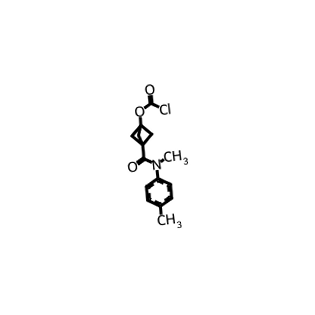 Cc1ccc(N(C)C(=O)C23CC(OC(=O)Cl)(C2)C3)cc1